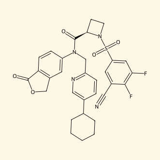 N#Cc1cc(S(=O)(=O)N2CC[C@@H]2C(=O)N(Cc2ccc(C3CCCCC3)cn2)c2ccc3c(c2)COC3=O)cc(F)c1F